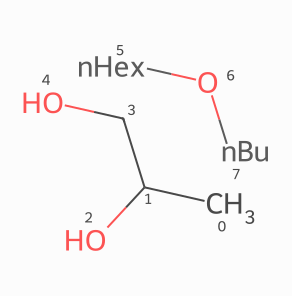 CC(O)CO.CCCCCCOCCCC